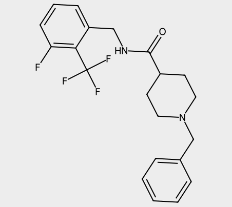 O=C(NCc1cccc(F)c1C(F)(F)F)C1CCN(Cc2ccccc2)CC1